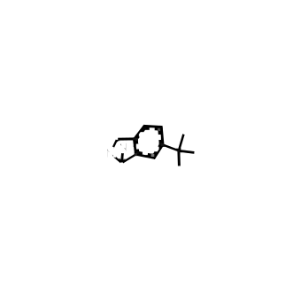 CC(C)(C)c1ccc2c(c1)C1NC2N1